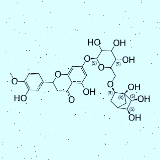 COc1ccc(C2CC(=O)c3c(O)cc(O[C@@H]4OC(CO[C@@H]5CC6C[C@@]5(O)[C@@H](O)[C@H]6O)[C@@H](O)C(O)C4O)cc3O2)cc1O